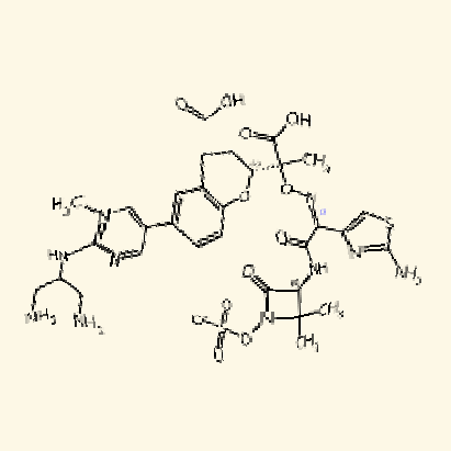 C[n+]1cc(-c2ccc3c(c2)CC[C@H](C(C)(O/N=C(\C(=O)N[C@@H]2C(=O)N(OS(=O)(=O)[O-])C2(C)C)c2csc(N)n2)C(=O)O)O3)cnc1NC(CN)CN.O=CO